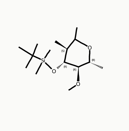 CO[C@H]1[C@H](O[Si](C)(C)C(C)(C)C)[C@@H](C)C(C)O[C@@H]1C